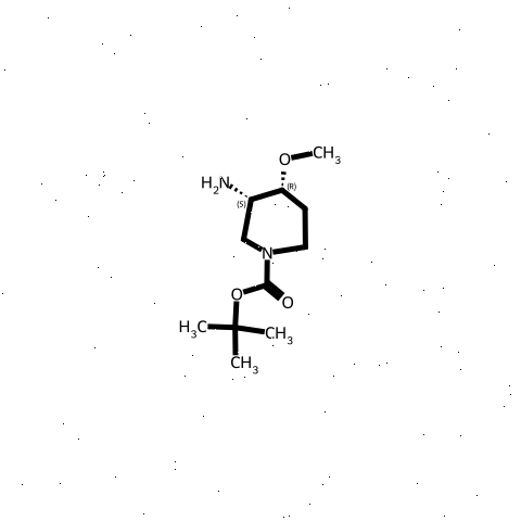 CO[C@@H]1CCN(C(=O)OC(C)(C)C)C[C@@H]1N